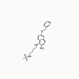 CS(=O)(=O)NCCCCNc1c([N+](=O)[O-])cnc2cc(OCc3ccccc3)ccc12